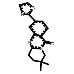 CC1(C)CCc2nc3cc(-c4nccs4)ccc3c(=O)n2C1